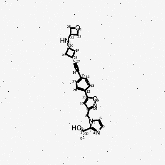 C[C@H](O)c1nccn1Cc1cc(-c2ccc(C#C[C@H]3C[C@H](NC4COC4)C3)cc2)on1